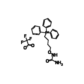 NC(=O)NOCCCC[P+](c1ccccc1)(c1ccccc1)c1ccccc1.O=C([O-])C(F)(F)F